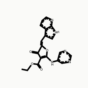 CCOC(=O)C1=C(Nc2cncnc2)OC(=Cc2c[nH]c3ncccc23)C1=O